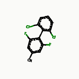 N#Cc1cc(F)c(-c2c(Cl)[c]ccc2Cl)c(F)c1